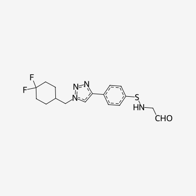 O=CCNSc1ccc(-c2cn(CC3CCC(F)(F)CC3)nn2)cc1